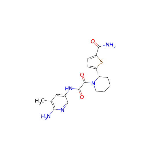 Cc1cc(NC(=O)C(=O)N2CCCC[C@H]2c2ccc(C(N)=O)s2)cnc1N